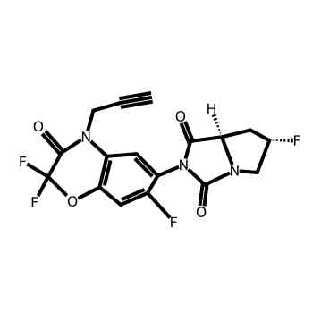 C#CCN1C(=O)C(F)(F)Oc2cc(F)c(N3C(=O)[C@H]4C[C@H](F)CN4C3=O)cc21